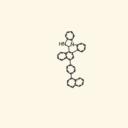 c1ccc2c(c1)NC1c3c(cc(-c4ccc(-c5cccc6ccccc56)cc4)c4ccccc34)-c3ccccc3N21